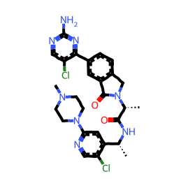 C[C@H](C(=O)N[C@H](C)c1cc(N2CCN(C)CC2)ncc1Cl)N1Cc2ccc(-c3nc(N)ncc3Cl)cc2C1=O